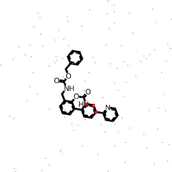 O=C(NCc1cccc(-c2ccccc2)c1OC(=O)NCCc1ccccn1)OCc1ccccc1